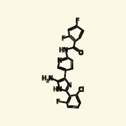 Nc1[nH]c(-c2c(F)cccc2Cl)nc1-c1ccc(NC(=O)c2ccc(F)cc2F)nc1